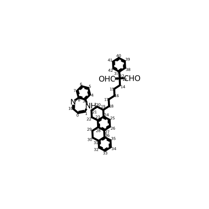 C1=CNc2ccccc2N=C1.O=CC(C=O)(CCCCCC1CCCc2c1ccc1c2CCc2ccccc2-1)c1ccccc1